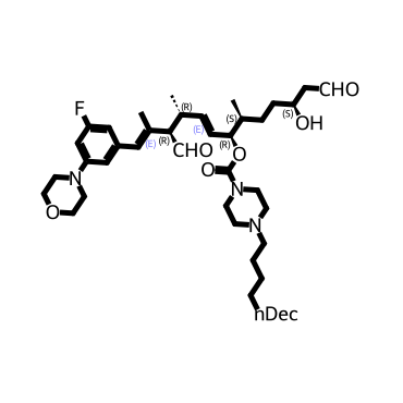 CCCCCCCCCCCCCCN1CCN(C(=O)O[C@@H](/C=C/[C@@H](C)[C@@H](C=O)/C(C)=C/c2cc(F)cc(N3CCOCC3)c2)[C@@H](C)CC[C@H](O)CC=O)CC1